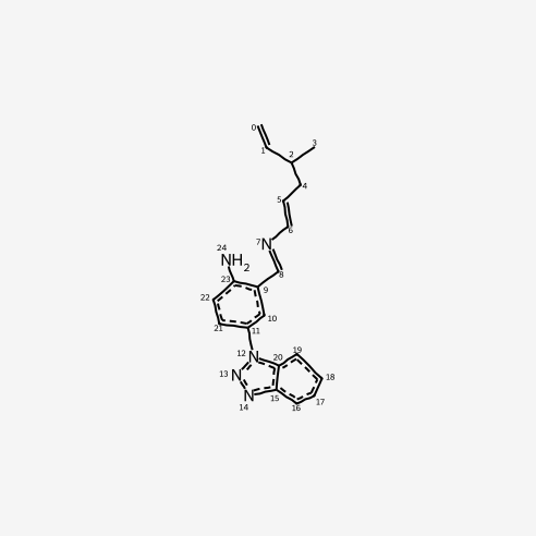 C=CC(C)C/C=C/N=C/c1cc(-n2nnc3ccccc32)ccc1N